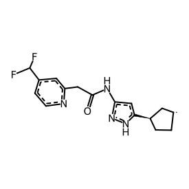 O=C(Cc1cc(C(F)F)ccn1)Nc1cc([C@H]2C[CH]CC2)[nH]n1